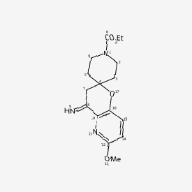 CCOC(=O)N1CCC2(CC1)CC(=N)c1nc(OC)ccc1O2